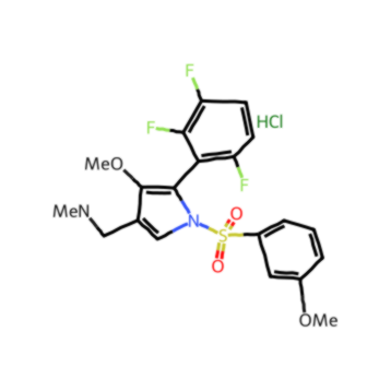 CNCc1cn(S(=O)(=O)c2cccc(OC)c2)c(-c2c(F)ccc(F)c2F)c1OC.Cl